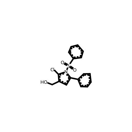 O=S(=O)(c1ccccc1)n1c(-c2ccccc2)cc(CO)c1Cl